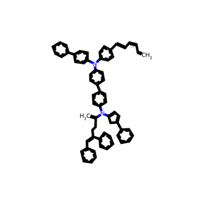 C=C/C=C\C=Cc1ccc(N(c2ccc(-c3ccccc3)cc2)c2ccc(-c3ccc(N(C(=C)CCC(=Cc4ccccc4)c4ccccc4)C4=CC=C(c5ccccc5)C4)cc3)cc2)cc1